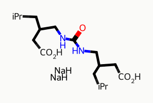 CC(C)CC(CNC(=O)NCC(CC(=O)O)CC(C)C)CC(=O)O.[NaH].[NaH]